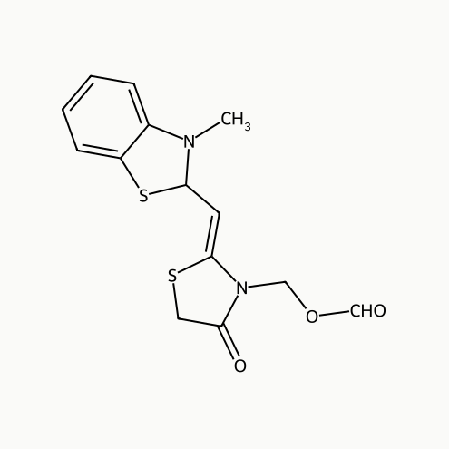 CN1c2ccccc2SC1/C=C1\SCC(=O)N1COC=O